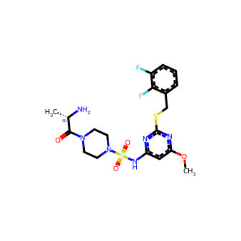 COc1cc(NS(=O)(=O)N2CCN(C(=O)[C@H](C)N)CC2)nc(SCc2cccc(F)c2F)n1